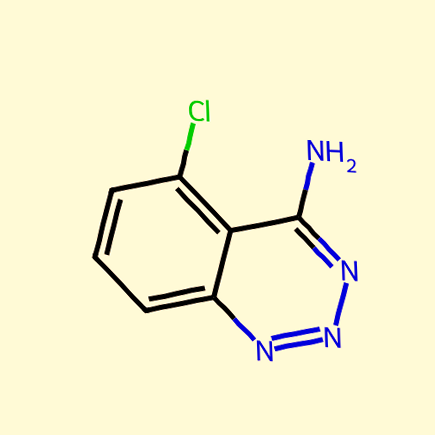 Nc1nnnc2cccc(Cl)c12